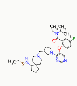 CCSNC1CCCC12CCN(CC1CCN(c3ncncc3Oc3ccc(F)cc3C(=O)N(CC)C(C)C)C1)CC2